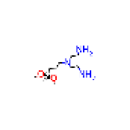 CO[Si](C)(CCCN(CCN)CCN)OC